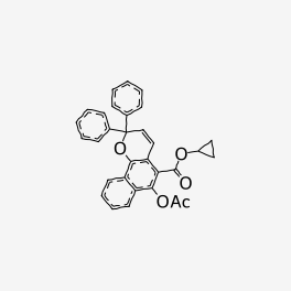 CC(=O)Oc1c(C(=O)OC2CC2)c2c(c3ccccc13)OC(c1ccccc1)(c1ccccc1)C=C2